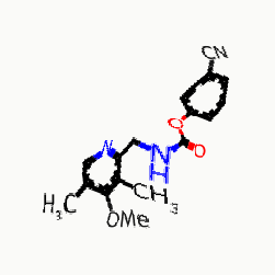 COc1c(C)cnc(CNC(=O)Oc2cccc(C#N)c2)c1C